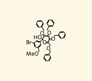 COCc1cc(Br)cc(C2(O)O[C@H](COCc3ccccc3)[C@@H](OCc3ccccc3)[C@H](OCc3ccccc3)[C@H]2OCc2ccccc2)c1